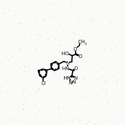 CCOC(=O)C(O)CN(Cc1ccc(-c2cccc(Cl)c2)cc1)NC(=O)c1nnn[nH]1